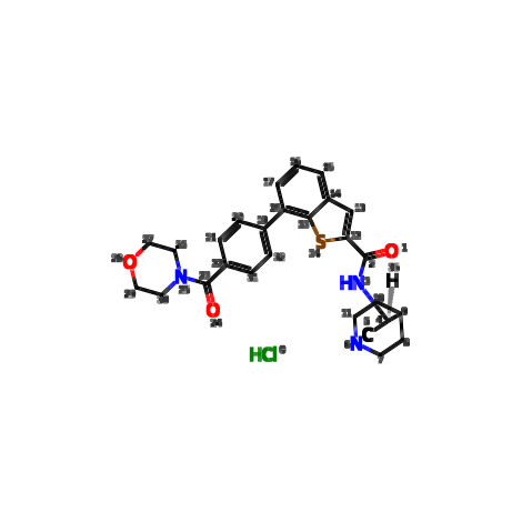 Cl.O=C(N[C@@H]1CN2CCC1CC2)c1cc2cccc(-c3ccc(C(=O)N4CCOCC4)cc3)c2s1